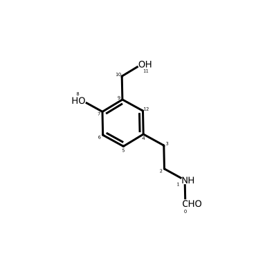 O=CNCCc1ccc(O)c(CO)c1